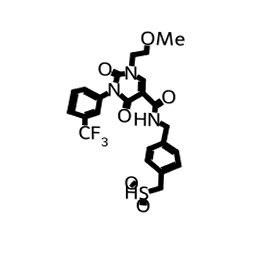 COCCn1cc(C(=O)NCc2ccc(C[SH](=O)=O)cc2)c(=O)n(-c2cccc(C(F)(F)F)c2)c1=O